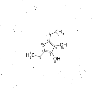 CCc1sc(CC)c(O)c1O